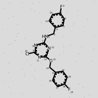 Fc1ccc(CNc2nc(Cl)nc(OCc3ccc(F)cc3)n2)cc1